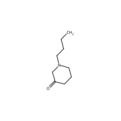 [CH2]CCCN1CCCC(=O)C1